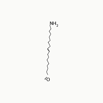 C1CO1.CCCCCCCCC=CCCCCCCCCN